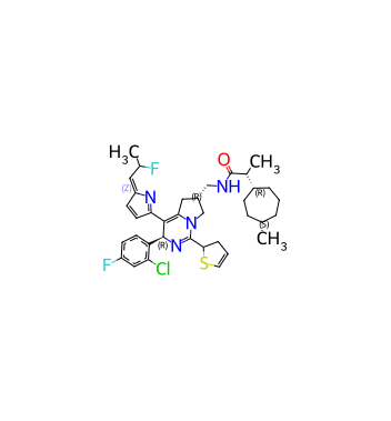 CC(F)/C=C1/C=CC(C2=C3C[C@H](CNC(=O)C(C)[C@@H]4CCC[C@H](C)CC4)CN3C(C3CC=CS3)=N[C@H]2c2ccc(F)cc2Cl)=N1